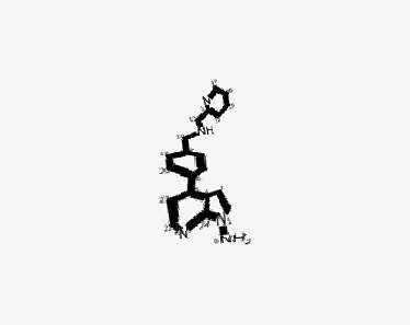 Nn1ccc2c(-c3ccc(CNCc4ccccn4)cc3)ccnc21